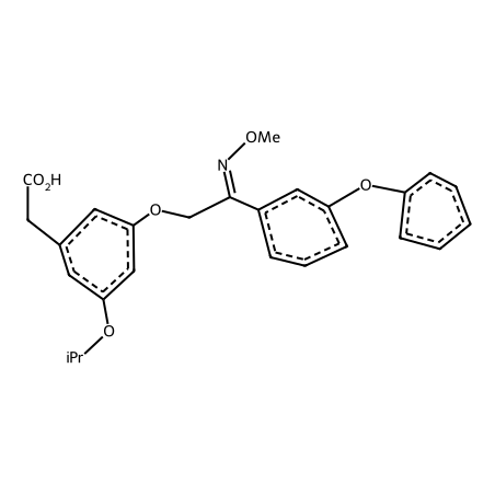 CON=C(COc1cc(CC(=O)O)cc(OC(C)C)c1)c1cccc(Oc2ccccc2)c1